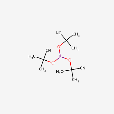 CC(C)(C#N)OP(OC(C)(C)C#N)OC(C)(C)C#N